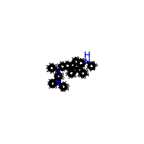 c1ccc(Nc2ccc3c4c(ccc3c2)-c2cc3ccc(N(c5ccccc5)c5ccc6c(c5)c5ccccc5n6-c5ccccc5)cc3cc2C42c3ccccc3-c3c2ccc2ccccc32)cc1